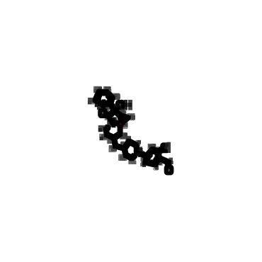 O=Cc1ccc(N2CCC(CC3CCN(C(=O)C(O)(c4ccccn4)C4CC4)CC3)CC2)cc1Cl